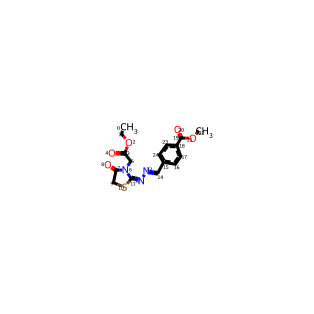 CCOC(=O)CN1C(=O)CS/C1=N/N=C/c1ccc(C(=O)OC)cc1